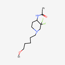 CCOCCCCCN1CCC(NC(=O)C(C)C)C(F)(F)C1